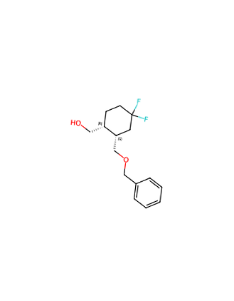 OC[C@@H]1CCC(F)(F)C[C@@H]1COCc1ccccc1